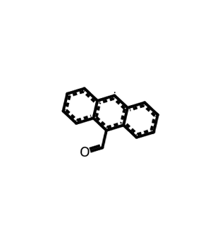 O=Cc1c2ccccc2[c]c2ccccc12